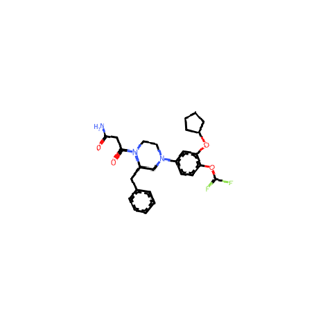 NC(=O)CC(=O)N1CCN(c2ccc(OC(F)F)c(OC3CCCC3)c2)CC1Cc1ccccc1